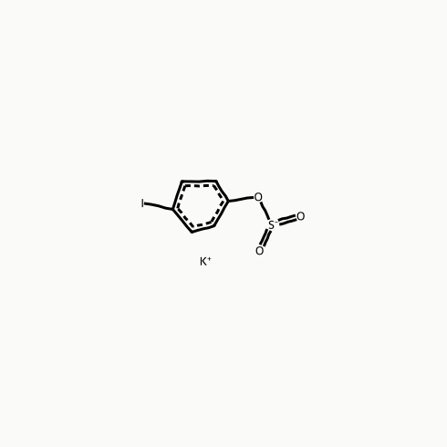 O=[S-](=O)Oc1ccc(I)cc1.[K+]